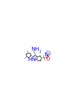 Cc1cc(C)cc(-c2[nH]c3ccc(C(C)(C)C(=O)N4C5CCC4CC5)cc3c2CCN)c1